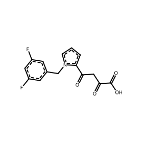 O=C(O)C(=O)CC(=O)c1cccn1Cc1cc(F)cc(F)c1